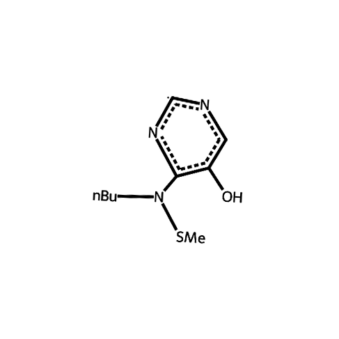 CCCCN(SC)c1n[c]ncc1O